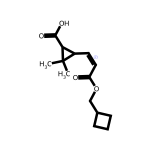 CC1(C)C(/C=C\C(=O)OCC2CCC2)C1C(=O)O